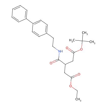 CCOC(=O)CC(CC(=O)OC(C)(C)C)C(=O)NCCc1ccc(-c2ccccc2)cc1